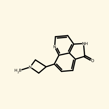 BN1CC(c2ccc3c4c(ccnc24)NC3=O)C1